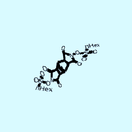 CCCCCCS(=O)(=O)ON1C(=O)C2C3C=CC(C2C1=O)C1C(=O)N(OS(=O)(=O)CCCCCC)C(=O)C31